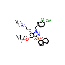 CCNCCOc1cc(OC)cc2c(S(=O)(=O)c3cccc4ccccc34)nn(Cc3cccc(Cl)c3)c12.Cl